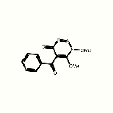 COc1c(C(=O)c2ccccc2)c(=O)nnn1OC